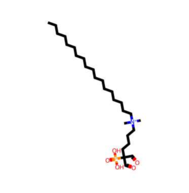 CCCCCCCCCCCCCCCCCC[N+](C)(C)CCCCC(C=O)(C=O)P(=O)(O)O